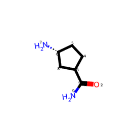 NC(=O)C1CC[C@@H](N)C1